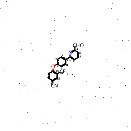 N#Cc1ccc(Oc2ccc(-c3cccc(C=O)n3)cc2)c(C(F)(F)F)c1